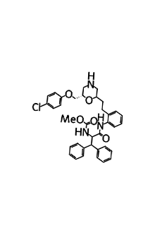 COC(=O)NC(C(=O)Nc1ccccc1CCC1CNC[C@@H](COc2ccc(Cl)cc2)O1)C(c1ccccc1)c1ccccc1